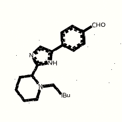 CCC(C)CN1CCCCC1c1ncc(-c2ccc(C=O)cc2)[nH]1